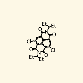 CCC(CC)N1C(=O)c2cc(Cl)c3c4c(c(Cl)cc(c24)C1=O)C(=O)N(C(CC)CC)C3=O